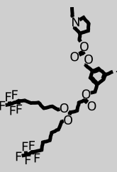 [CH2]c1cc(COC(=O)CCC(OCCCCCCC(F)(F)C(F)(F)F)OCCCCCCC(F)(F)C(F)(F)F)cc(COC(=O)OCC2CCCN(CC)C2)c1